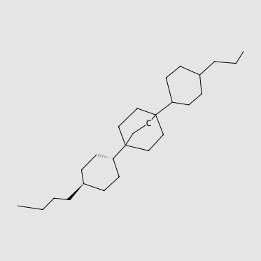 CCCC[C@H]1CC[C@H](C23CCC(C4CCC(CCC)CC4)(CC2)CC3)CC1